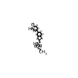 CCCS(=O)(=O)NCC1Cc2ccc(-c3ccc(=O)[nH]n3)cc2C1